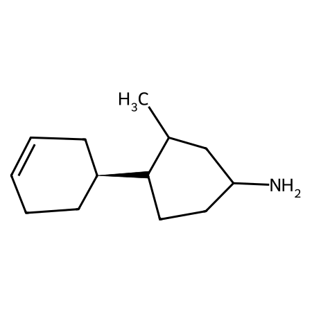 CC1CC(N)CCC1[C@@H]1CC=CCC1